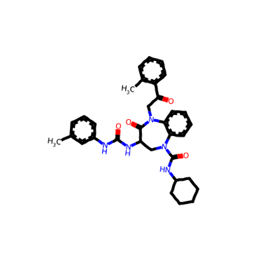 Cc1cccc(NC(=O)NC2CN(C(=O)NC3CCCCC3)c3ccccc3N(CC(=O)c3ccccc3C)C2=O)c1